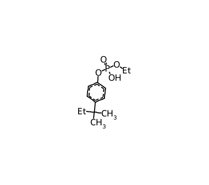 CCOP(=O)(O)Oc1ccc(C(C)(C)CC)cc1